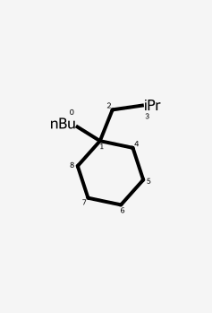 CCCCC1(CC(C)C)CCCCC1